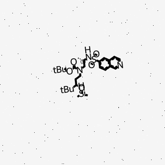 C[C@@H](CN(CCC(O[SiH](C)C)C(C)(C)C)C(=O)OC(C)(C)C)NS(=O)(=O)c1ccc2cnccc2c1